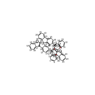 c1ccc(N(c2ccccc2)c2ccc3c(c2)C2(c4ccccc4-c4ccc(N(c5ccccc5)c5cccc6c5oc5ccccc56)cc42)c2oc4ccccc4c2-3)cc1